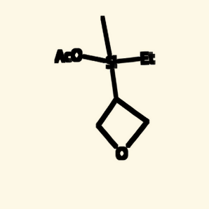 CC[Si](C)(OC(C)=O)C1COC1